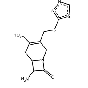 NC1C(=O)N2CC(CSc3nncs3)=C(C(=O)O)SC12